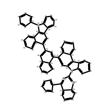 c1ccc(-c2nc(-n3c4ccccc4c4c5ccccc5c(-c5cc(-c6cc7c8ccccc8n(-c8ccccc8)c7c7ccccc67)cc6ccccc56)cc43)nc3ccccc23)cc1